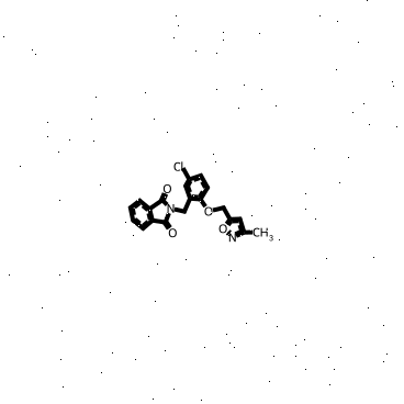 Cc1cc(COc2ccc(Cl)cc2CN2C(=O)c3ccccc3C2=O)on1